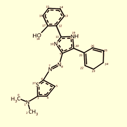 CN(C)c1ccc(N=Nc2nc(-c3ccccc3O)[nH]c2C2=CCCC=C2)s1